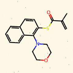 C=C(C)C(=O)Sc1ccc2ccccc2c1N1CCOCC1